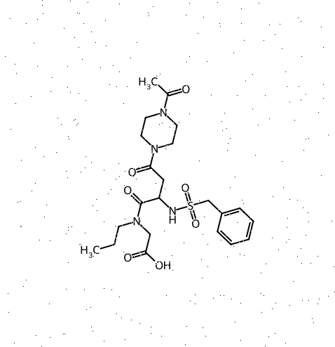 CCCN(CC(=O)O)C(=O)C(CC(=O)N1CCN(C(C)=O)CC1)NS(=O)(=O)Cc1ccccc1